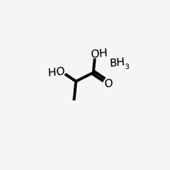 B.CC(O)C(=O)O